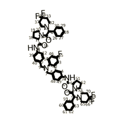 O=C(Nc1ccc(CN(Cc2ccc(NC(=O)[C@@H]3CCCN3C(=O)[C@H](c3ccccc3)N3CCC(F)(F)CC3)cc2)c2ccc(F)cc2)cc1)[C@@H]1CCCN1C(=O)[C@H](c1ccccc1)N1CCC(F)(F)CC1